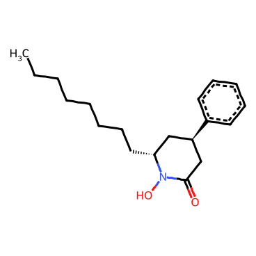 CCCCCCCC[C@@H]1C[C@@H](c2ccccc2)CC(=O)N1O